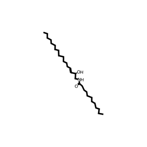 CCCCCCCCCCCCC/C=C/[C@@H](O)CNC(=O)CCCCCCCCCCC